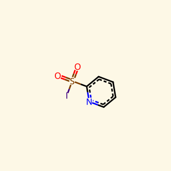 O=S(=O)(I)c1ccccn1